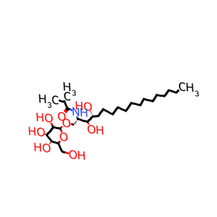 CCCCCCCCCCCCCC[C@@H](O)[C@@H](O)[C@H](CO[C@H]1OC(CO)[C@H](O)[C@H](O)C1O)NC(=O)C(C)C